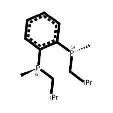 CC(C)C[P@@](C)c1ccccc1[P@](C)CC(C)C